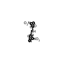 O=C1c2cccc3cc([N+](=O)[O-])cc(c23)C(=O)N1CCCCNCCCN1C(=O)c2cc([N+](=O)[O-])cc3c2c(cc2cccnc23)C1=O